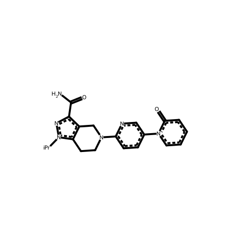 CC(C)n1nc(C(N)=O)c2c1CCN(c1ccc(-n3ccccc3=O)cn1)C2